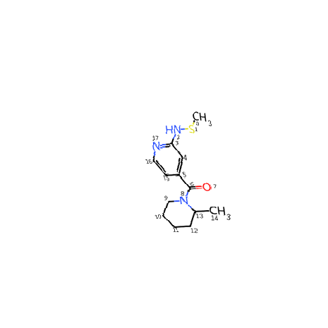 CSNc1cc(C(=O)N2CCCCC2C)ccn1